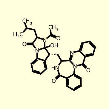 CC(=O)N1C(CC(C)C)C(=O)N2c3ccccc3[C@@H](CC3NC(=O)c4ccccc4-n4c3nc3ccccc3c4=O)C21O